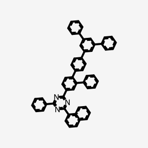 c1ccc(-c2cc(-c3ccccc3)cc(-c3ccc(-c4ccc(-c5nc(-c6ccccc6)nc(-c6cccc7ccccc67)n5)cc4-c4ccccc4)cc3)c2)cc1